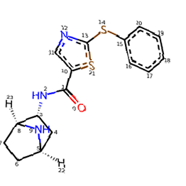 O=C(N[C@@H]1C[C@H]2CC[C@@H]1N2)c1cnc(Sc2ccccc2)s1